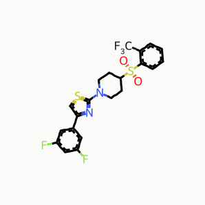 O=S(=O)(c1ccccc1C(F)(F)F)C1CCN(c2nc(-c3cc(F)cc(F)c3)cs2)CC1